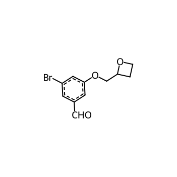 O=Cc1cc(Br)cc(OCC2CCO2)c1